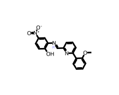 COc1ccccc1-c1cccc(/C=N/c2cc([N+](=O)[O-])ccc2O)n1